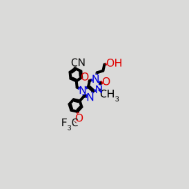 Cn1c(=O)n(CCCO)c(=O)c2c1nc(-c1cccc(OC(F)(F)F)c1)n2Cc1ccc(C#N)cc1